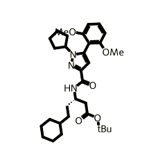 COc1cccc(OC)c1-c1cc(C(=O)N[C@@H](CCC2CCCCC2)CC(=O)OC(C)(C)C)nn1C1CCCC1